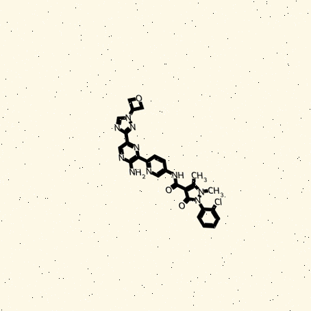 Cc1c(C(=O)Nc2ccc(-c3nc(-c4ncn(C5COC5)n4)cnc3N)nc2)c(=O)n(-c2ccccc2Cl)n1C